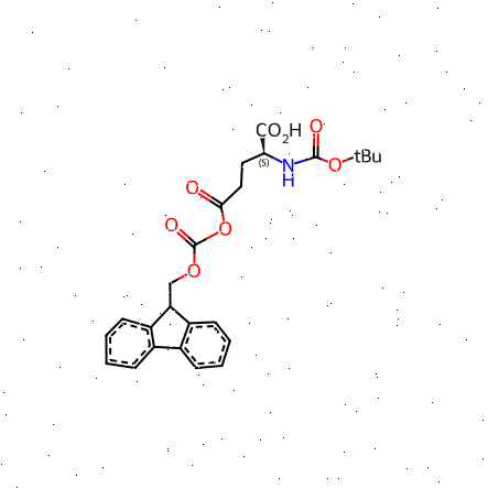 CC(C)(C)OC(=O)N[C@@H](CCC(=O)OC(=O)OCC1c2ccccc2-c2ccccc21)C(=O)O